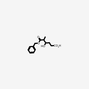 CC(C(=O)OCc1ccccc1)C(O)CCC(=O)O